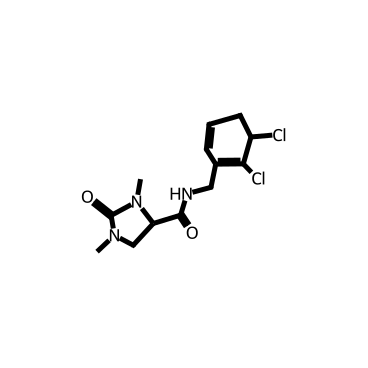 CN1CC(C(=O)NCC2=C(Cl)C(Cl)CC=C2)N(C)C1=O